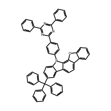 c1ccc(-c2nc(-c3ccccc3)nc(-c3ccc(-n4c5ccc(C(c6ccccc6)(c6ccccc6)c6ccccc6)cc5c5ccc6c7ccccc7oc6c54)cc3)n2)cc1